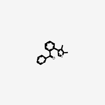 Cc1scc(-c2ccccc2C(=O)c2ccccc2)c1C